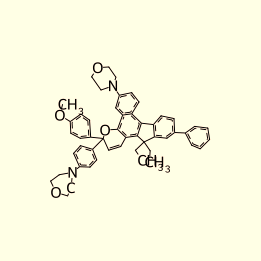 CCC1(CC)c2cc(-c3ccccc3)ccc2-c2c1c1c(c3cc(N4CCOCC4)ccc23)OC(c2ccc(OC)cc2)(c2ccc(N3CCOCC3)cc2)C=C1